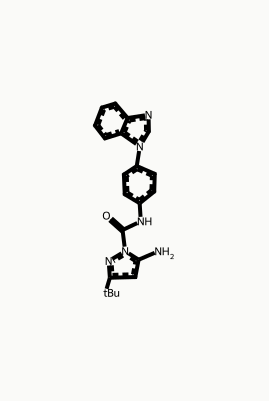 CC(C)(C)c1cc(N)n(C(=O)Nc2ccc(-n3cnc4ccccc43)cc2)n1